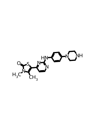 Cc1c(-c2ccnc(Nc3ccc(N4CCNCC4)cc3)n2)sc(=O)n1C